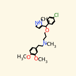 COc1ccc(CCN(C)CCCOC(c2ccc(Cl)cc2)c2ccnn2C)cc1OC